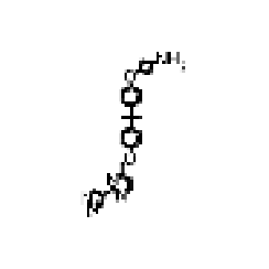 Cn1cc(-c2nccc(COc3ccc(C(C)(C)c4ccc(OC5CC(N)C5)cc4)cc3)n2)cn1